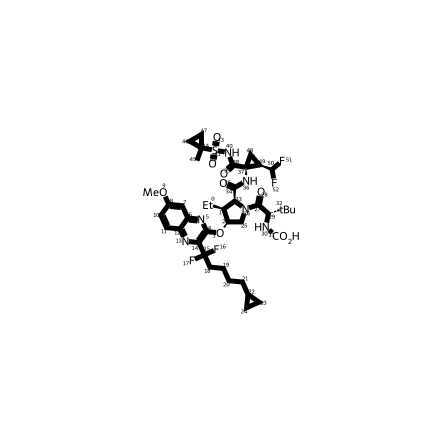 CC[C@@H]1[C@@H](Oc2nc3cc(OC)ccc3nc2C(F)(F)CCCCC2CC2)CN(C(=O)[C@@H](NC(=O)O)C(C)(C)C)[C@@H]1C(=O)N[C@]1(C(=O)NS(=O)(=O)C2(C)CC2)C[C@H]1C(F)F